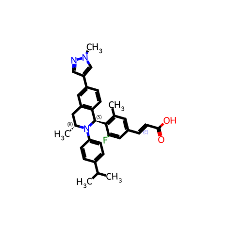 Cc1cc(/C=C/C(=O)O)cc(F)c1[C@@H]1c2ccc(-c3cnn(C)c3)cc2C[C@@H](C)N1c1ccc(C(C)C)cc1